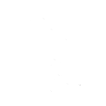 Nc1nc(/C(=N/OCC(=O)O)C(=O)NC2C(=O)N3C(C(=O)O)=C(C[N+]4(CCN5CCn6cc(O)c(=O)cc6C5=O)CCCC4)CSC23)cs1